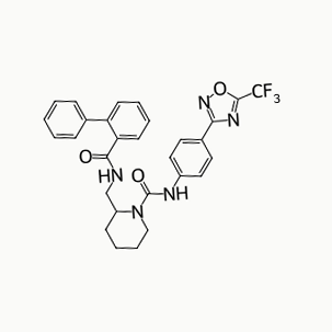 O=C(NCC1CCCCN1C(=O)Nc1ccc(-c2noc(C(F)(F)F)n2)cc1)c1ccccc1-c1ccccc1